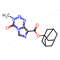 Cn1nnc2c(C(=O)OC34CC5CC(CC(C5)C3)C4)ncn2c1=O